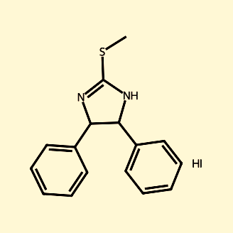 CSC1=NC(c2ccccc2)C(c2ccccc2)N1.I